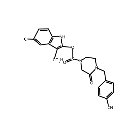 N#Cc1ccc(CN2CCN(S(=O)Oc3[nH]c4ccc(Cl)cc4c3C(=O)O)CC2=O)cc1